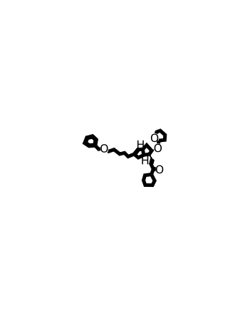 O=C(C=C[C@H]1[C@@H]2CC(CCCCCOCc3ccccc3)=C[C@@H]2C[C@@H]1OC1CCCCO1)C1CCCCC1